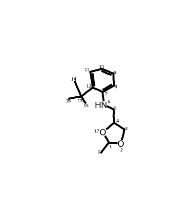 CC1OCC(CNc2ccccc2C(C)(C)C)O1